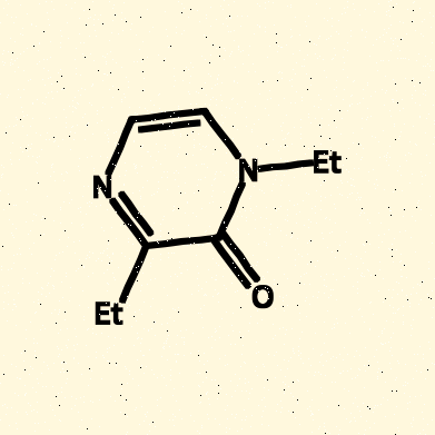 CCc1nccn(CC)c1=O